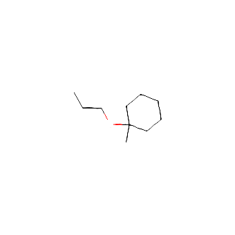 CCCOC1(C)CCCCC1